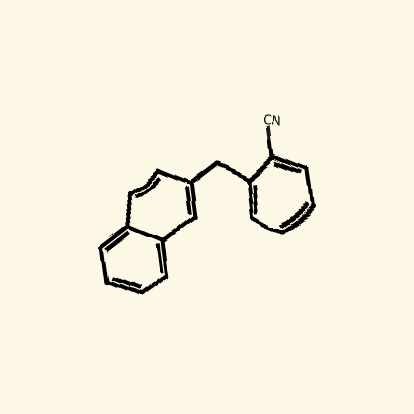 N#Cc1ccccc1Cc1ccc2ccccc2c1